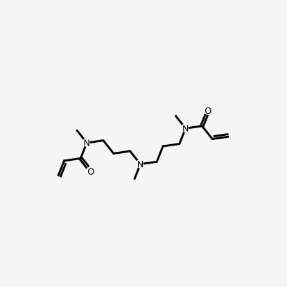 C=CC(=O)N(C)CCCN(C)CCCN(C)C(=O)C=C